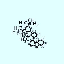 CC(C)c1c(-c2cc(C(C)(C)C)cc(C(C)(C)C)c2)cccc1-c1cccc2sc3ccccc3c12